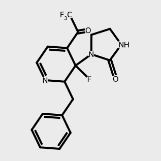 O=C1NCCN1C1(F)C(C(=O)C(F)(F)F)=CC=NC1Cc1ccccc1